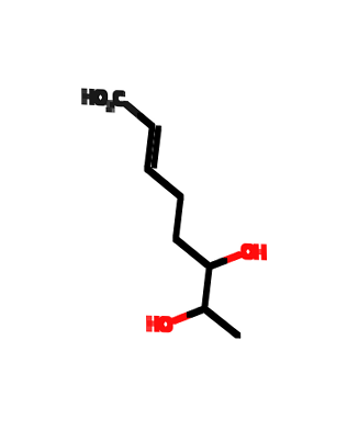 CC(O)C(O)CCC=CC(=O)O